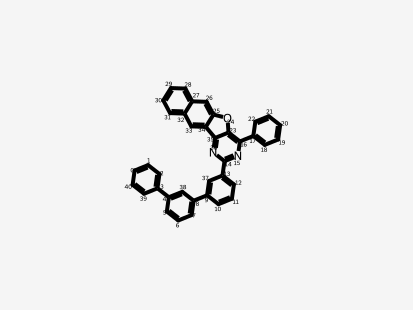 c1ccc(-c2cccc(-c3cccc(-c4nc(-c5ccccc5)c5oc6cc7ccccc7cc6c5n4)c3)c2)cc1